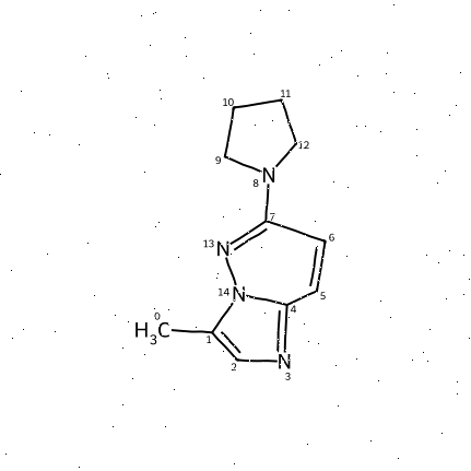 Cc1cnc2ccc(N3CCCC3)nn12